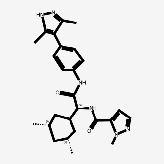 Cc1n[nH]c(C)c1-c1ccc(NC(=O)[C@@H](NC(=O)c2ccnn2C)C2C[C@@H](C)C[C@@H](C)C2)cc1